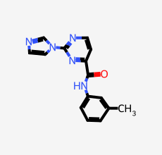 Cc1cccc(NC(=O)c2ccnc(-n3ccnc3)n2)c1